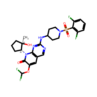 C[C@@]1(O)CCC[C@H]1n1c(=O)c(OC(F)F)cc2cnc(NC3CCN(S(=O)(=O)c4c(F)cccc4F)CC3)nc21